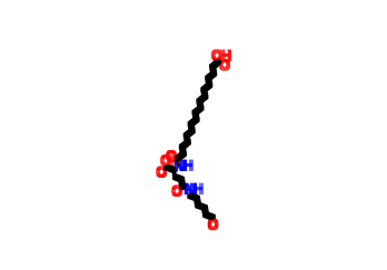 O=CCCCCCNC(=O)CC[C@H](NC(=O)CCCCCCCCCCCCCCCCC(=O)O)C(=O)O